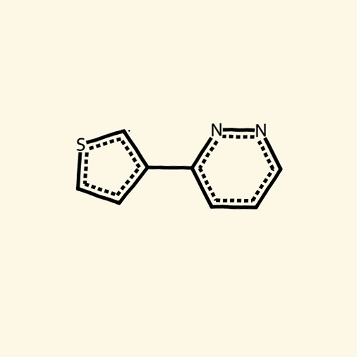 [c]1sccc1-c1cccnn1